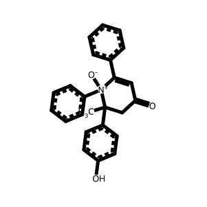 CC1(c2ccc(O)cc2)CC(=O)C=C(c2ccccc2)[N+]1([O-])c1ccccc1